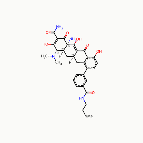 CNCCNC(=O)c1cccc(-c2ccc(O)c3c2C[C@H]2C[C@H]4[C@H](N(C)C)C(O)=C(C(N)=O)C(=O)[C@@]4(N)C(O)=C2C3=O)c1